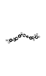 CC1N(c2ccc(C#N)c(Cl)c2)CCC12CCN(c1ccc(C(=O)N3CCN(C4CN(c5ccc6c(c5)CN(C5CCC(=O)NC5=O)C6=O)C4)CC3)cc1)CC2